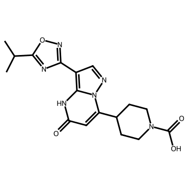 CC(C)c1nc(-c2cnn3c(C4CCN(C(=O)O)CC4)cc(=O)[nH]c23)no1